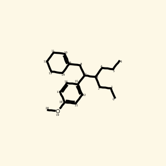 CCCC(CCC)C(CC1=CCCCC1)c1ccc(OC)cc1